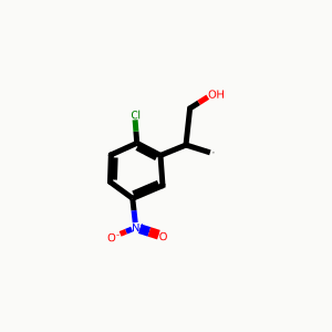 [CH2]C(CO)c1cc([N+](=O)[O-])ccc1Cl